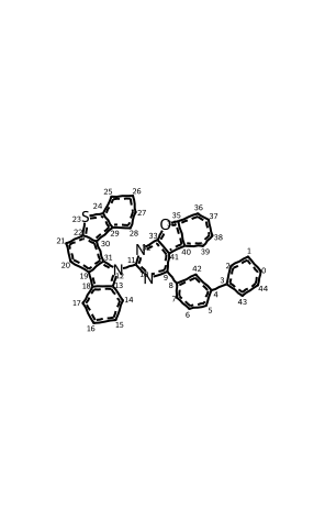 c1ccc(-c2cccc(-c3nc(-n4c5ccccc5c5ccc6sc7ccccc7c6c54)nc4oc5ccccc5c34)c2)cc1